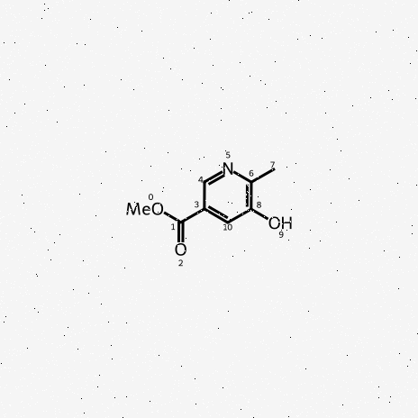 COC(=O)c1cnc(C)c(O)c1